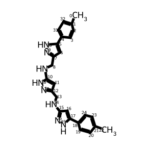 Cc1ccc(-c2cc(CNc3cc(CNc4cc(-c5ccc(C)cc5)[nH]n4)n[nH]3)n[nH]2)cc1